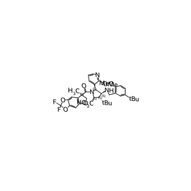 COc1ccc(C(C)(C)C)cc1CN[C@H]1[C@H](C(C)(C)C)[C@@H](C(=O)O)N(C(=O)[C@@]2(C)COc3cc4c(cc32)OC(F)(F)O4)[C@H]1c1cccnc1OC